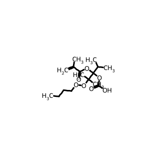 C=C(C)C(=O)OC(OC(=O)O)(C(C)C)C(C)(C)OOCCCC